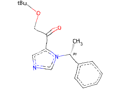 C[C@H](c1ccccc1)n1cncc1C(=O)COC(C)(C)C